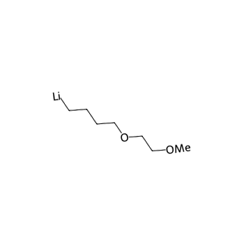 [Li][CH2]CCCOCCOC